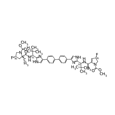 COC(=O)N1C[C@H](F)C=C1C(=O)N[C@H](c1nc(-c2ccc(-c3ccc(-c4c[nH]c([C@@H](NC(=O)[C@]5(C)C[C@@H](F)CN5C(=O)OC)C(C)(C)C)n4)cc3)cc2)c[nH]1)C(C)(C)C